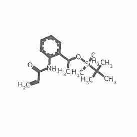 C=CC(=O)Nc1ccccc1C(C)O[Si](C)(C)C(C)(C)C